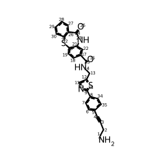 NCCC#Cc1ccc(-c2ncc(CNC(=O)c3ccc4c(c3)NC(=O)c3ccccc3S4)s2)cc1